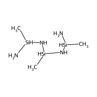 C[SiH](N)N[SiH](C)N[SiH](C)N